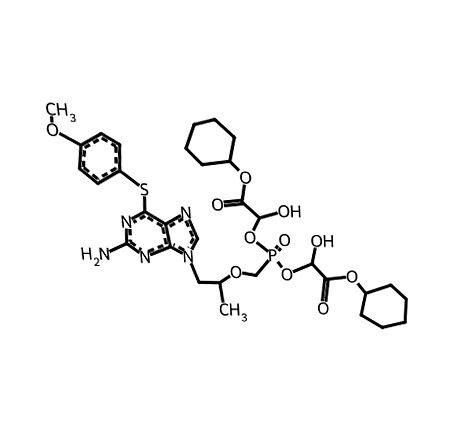 COc1ccc(Sc2nc(N)nc3c2ncn3CC(C)OCP(=O)(OC(O)C(=O)OC2CCCCC2)OC(O)C(=O)OC2CCCCC2)cc1